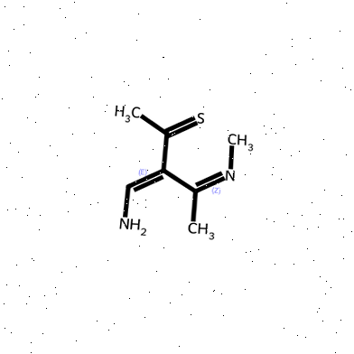 C/N=C(C)\C(=C/N)C(C)=S